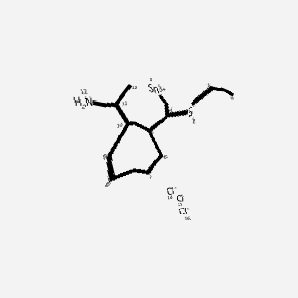 CCS[CH]([Sn+3])C1CCCCC1C(C)N.[Cl-].[Cl-].[Cl-]